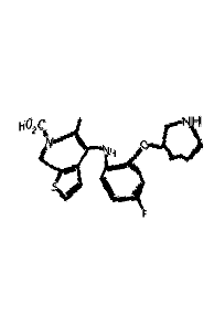 CC1=C(Nc2ccc(F)cc2OC2CCCNC2)c2ccsc2CN1C(=O)O